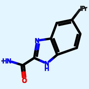 CC(C)c1ccc2[nH]c(C([NH])=O)nc2c1